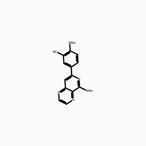 CNc1ccc(-c2cc3nccnc3c(NC)n2)cc1C#N